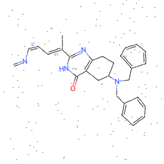 C=N/C=C\C=C(/C)c1nc2c(c(=O)[nH]1)CC(N(Cc1ccccc1)Cc1ccccc1)CC2